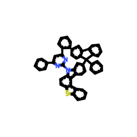 c1ccc(-c2cc(-c3ccccc3)nc(-n3c4cc(C5(c6ccccc6)c6ccccc6-c6ccccc65)ccc4c4c5c(ccc43)sc3ccccc35)n2)cc1